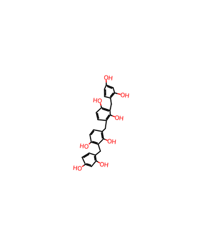 Oc1ccc(Cc2c(O)ccc(Cc3ccc(O)c(Cc4ccc(O)cc4O)c3O)c2O)c(O)c1